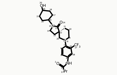 CC(C)C(=O)Nc1ccc(N2CCC[C@@]3(CCN(C4CCC(O)CC4)C3=O)C2)c(C(F)(F)F)c1